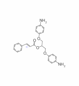 Nc1ccc(OCC(COc2ccc(N)cc2)OC(=O)/C=C/c2ccccc2)cc1